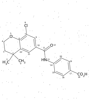 CC1(C)CCOc2c(Cl)cc(C(=O)Nc3ccc(C(=O)O)cc3)cc21